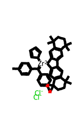 Cc1ccc([C](c2ccc(C)cc2)=[Zr+2]([CH]2C=CC=C2)[CH]2c3cc4c(cc3-c3cc5c(cc32)C(C)(C)CCC5(C)C)C(C)(C)CCC4(C)C)cc1.[Cl-].[Cl-]